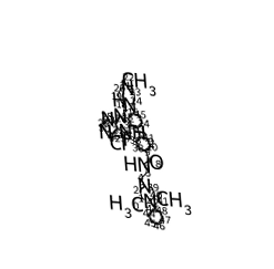 C[C@@H]1CN(CCNC(=O)c2ccc(-c3ccc(N4CCCN(C)CC4)c(Nc4ncnc(Cl)c4N)c3)c(F)c2)C[C@H](C)N1c1ccccc1